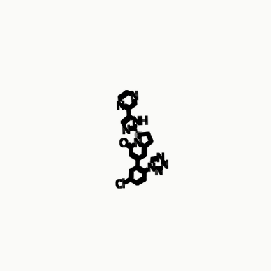 O=c1cc(-c2cc(Cl)ccc2-n2cnnn2)cc2n1[C@H](c1ncc(-c3cnccn3)[nH]1)CC2